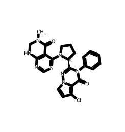 CN1CNc2ncnc(N3CCC[C@H]3c3nn4ccc(Cl)c4c(=O)n3-c3ccccc3)c2C1=O